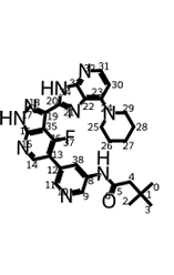 CC(C)(C)CC(=O)Nc1cncc(-c2cnc3[nH]nc(-c4nc5c(N6CCCCC6)ccnc5[nH]4)c3c2F)c1